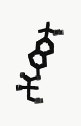 CCC(C)(CC(C)(C)C)C(=O)Oc1ccc2cc(C(C)(C)OC(C)=O)ccc2c1